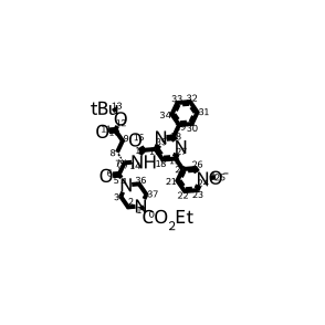 CCOC(=O)N1CCN(C(=O)[C@H](CCC(=O)OC(C)(C)C)NC(=O)c2cc(-c3ccc[n+]([O-])c3)nc(-c3ccccc3)n2)CC1